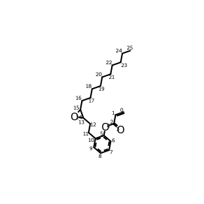 C=CC(=O)Oc1ccccc1CCC1OC1CCCCCCCCCC